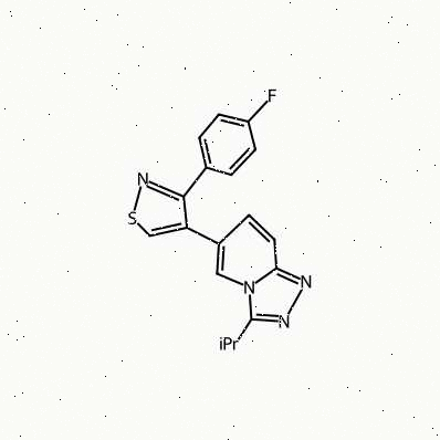 CC(C)c1nnc2ccc(-c3csnc3-c3ccc(F)cc3)cn12